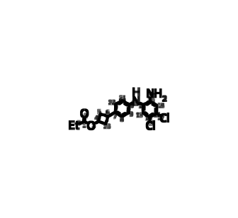 CCC(=O)OC1CC(c2ccc(Nc3cc(Cl)c(Cl)cc3N)cc2)C1